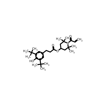 C=CC(=O)N1C(C)(C)CC(OC(=O)CCc2cc(C(C)(C)C)c(O)c(C(C)(C)C)c2)CC1(C)C